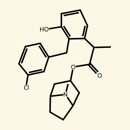 CC(C(=O)OC1CC2CCC(C1)N2C)c1cccc(O)c1Cc1cccc(Cl)c1